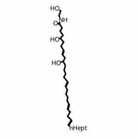 CCCCCCC/C=C/CC/C=C/CCCC/C=C/CCCCC(O)C/C=C/CCC(O)CCCC(=O)NCCO